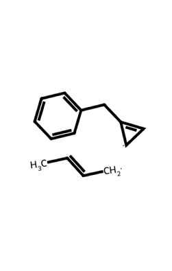 [CH2]C=CC.[CH]1C=C1Cc1ccccc1